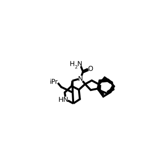 CC(C)CC1C2CC3C(CN2)C1N(C(N)=O)C3(Cc1ccccc1)Cc1ccccc1